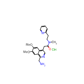 COc1cc2c(CC(=O)N(C)CCc3ccccn3)cnc(CN)c2cc1OC.Cl